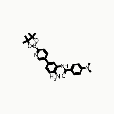 CN(C)c1ccc(C(=O)Nc2cc(-c3ccc(B4OC(C)(C)C(C)(C)O4)nc3)ccc2N)cc1